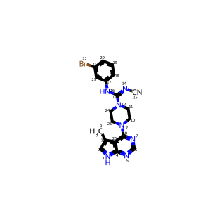 Cc1c[nH]c2ncnc(N3CCN(/C(=N\C#N)Nc4cccc(Br)c4)CC3)c12